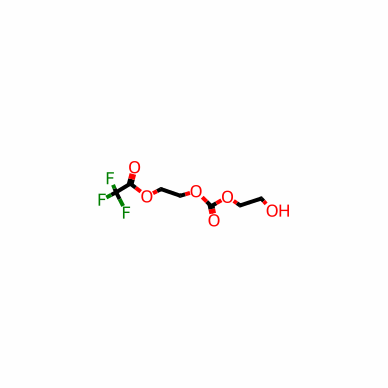 O=C(OCCO)OCCOC(=O)C(F)(F)F